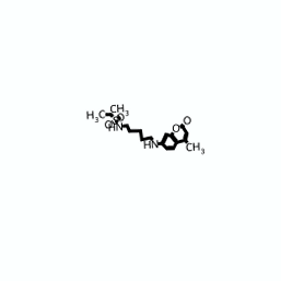 Cc1cc(=O)oc2cc(NCCCCCNS(=O)(=O)C(C)C)ccc12